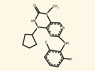 CN1C(=O)NN(C2CCCC2)c2nc(Nc3c(F)cccc3F)ncc21